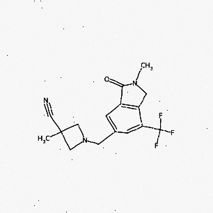 CN1Cc2c(cc(CN3CC(C)(C#N)C3)cc2C(F)(F)F)C1=O